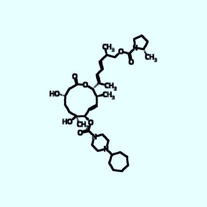 C/C(=C\C=C\[C@@H](C)COC(=O)N1CCC[C@@H]1C)[C@H]1OC(=O)C[C@@H](O)CC[C@](C)(O)[C@H](OC(=O)N2CCN(C3CCCCCC3)CC2)/C=C/[C@@H]1C